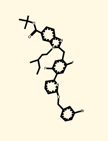 CCC(C)CCn1c(Cc2cc(F)c(-c3cccc(OCc4cccc(Br)c4)n3)cc2F)nc2ccc(C(=O)OC(C)(C)C)cc21